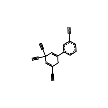 C#CC1=CC(C#C)(C#C)C=C(c2cccc(C#C)c2)C1